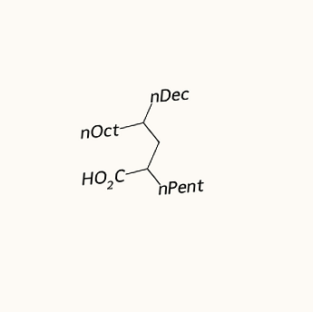 CCCCCCCCCCC(CCCCCCCC)CC(CCCCC)C(=O)O